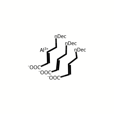 CCCCCCCCCCCC=CC(=O)[O-].CCCCCCCCCCCC=CC(=O)[O-].CCCCCCCCCCCC=CC(=O)[O-].[Al+3]